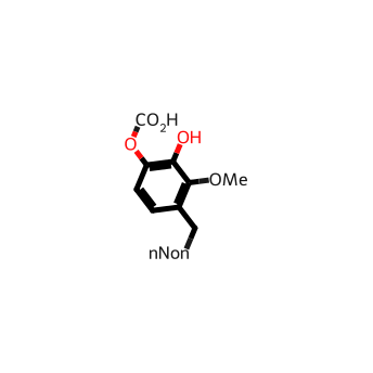 CCCCCCCCCCc1ccc(OC(=O)O)c(O)c1OC